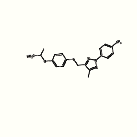 Cc1nn(-c2ccc(C(F)(F)F)cc2)nc1CSc1ccc(OC(C)C(=O)O)cc1